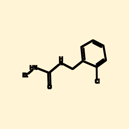 CCNC(=O)NCc1ccccc1Cl